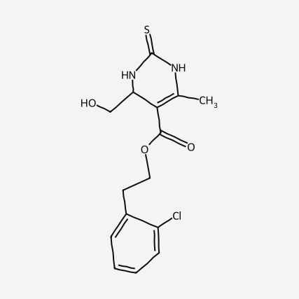 CC1=C(C(=O)OCCc2ccccc2Cl)C(CO)NC(=S)N1